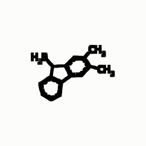 BC1c2ccccc2-c2cc(C)c(C)cc21